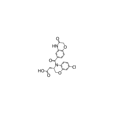 O=C(O)C[C@@H]1COc2cc(Cl)ccc2N1C(=O)c1ccc2c(c1)NC(=O)CO2